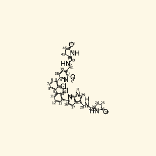 COc1nc(-c2cccc(-c3cccc(-c4ccc5c(CNC[C@@H]6CCC(=O)N6)cn(C)c5n4)c3Cl)c2Cl)ccc1CNC[C@H]1CCC(=O)N1